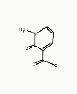 Cn1cccc(C(=O)Cl)c1=O